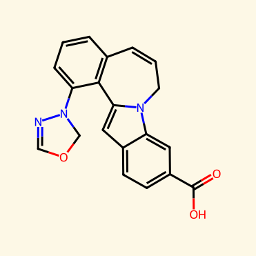 O=C(O)c1ccc2cc3n(c2c1)CC=Cc1cccc(N2COC=N2)c1-3